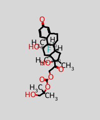 C[C@@H]1C[C@H]2[C@@H]3CCC4=CC(=O)C=C[C@]4(C)[C@@]3(F)[C@@H](O)C[C@]2(C)[C@@]1(O)C(=O)COC(=O)OC(C)(C)CO